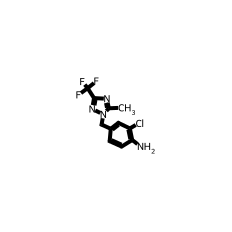 Cc1nc(C(F)(F)F)nn1Cc1ccc(N)c(Cl)c1